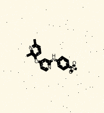 Cc1ccc(Oc2ccnc(Nc3ccc(S(C)(=O)=O)cc3)c2)c(C)n1